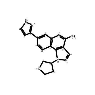 Nc1nc2cc(-c3cc[nH]n3)ccc2c2c1cnn2C1CCOC1